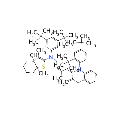 C=C1Cc2ccccc2N(c2ccc(C(C)(C)C)cc2C(C)(C)C)/C1=C/C(C)=C\CN(C1=C(C)C2(C)CCCCC2(C)S1)c1cc(C(C)(C)C)cc(C(C)(C)C)c1